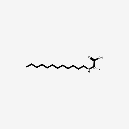 CCCCCCCCCCCCN[C@@H](C)C(=O)O